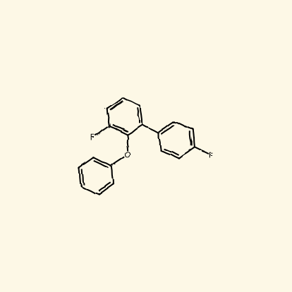 Fc1ccc(-c2cc[c]c(F)c2Oc2ccccc2)cc1